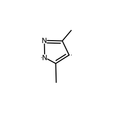 CC1=[C]C(C)=N[N]1